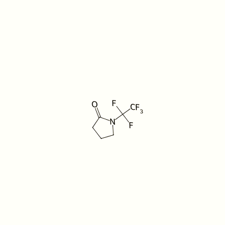 O=C1CCCN1C(F)(F)C(F)(F)F